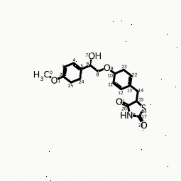 COC1=CC=C([C@@H](O)COC2C=CC(CC3SC(=O)NC3=O)=CC2)CC1